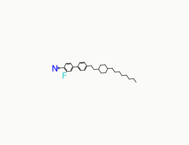 CCCCCCCCC1CCC(CCc2ccc(-c3ccc(C#N)c(F)c3)cc2)CC1